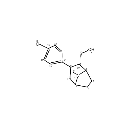 CN1C2CCC1[C@@H](CO)C(c1ccc(Cl)cc1)C2